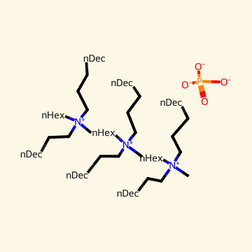 CCCCCCCCCCCCC[N+](C)(CCCCCC)CCCCCCCCCCCC.CCCCCCCCCCCCC[N+](C)(CCCCCC)CCCCCCCCCCCC.CCCCCCCCCCCCC[N+](C)(CCCCCC)CCCCCCCCCCCC.O=P([O-])([O-])[O-]